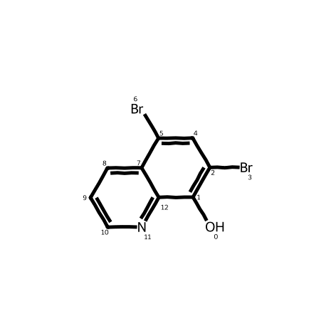 Oc1c(Br)cc(Br)c2cccnc12